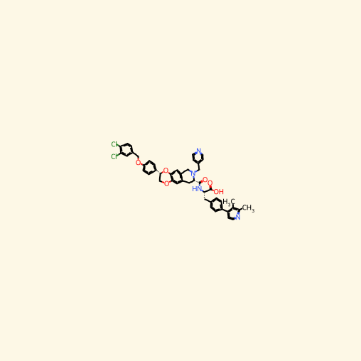 Cc1nccc(-c2ccc(C[C@H](NC(=O)[C@@H]3Cc4cc5c(cc4CN3Cc3ccncc3)O[C@@H](c3ccc(OCc4ccc(Cl)c(Cl)c4)cc3)CO5)C(=O)O)cc2)c1C